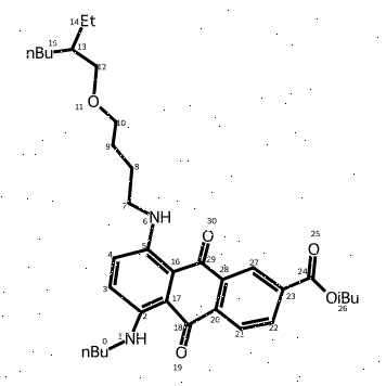 CCCCNc1ccc(NCCCCOCC(CC)CCCC)c2c1C(=O)c1ccc(C(=O)OCC(C)C)cc1C2=O